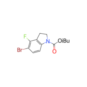 CC(C)COC(=O)N1CCc2c1ccc(Br)c2F